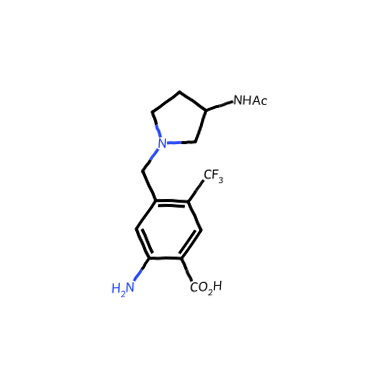 CC(=O)NC1CCN(Cc2cc(N)c(C(=O)O)cc2C(F)(F)F)C1